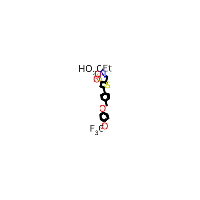 CCC(C(=O)O)N1Cc2sc(-c3ccc(COc4ccc(OC(F)(F)F)cc4)cc3)cc2S1(=O)=O